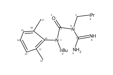 CCCCN(C(=O)N(CC(C)C)C(=N)N)c1c(C)cccc1C